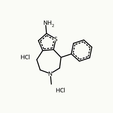 CN1CCc2cc(N)sc2C(c2ccccc2)C1.Cl.Cl